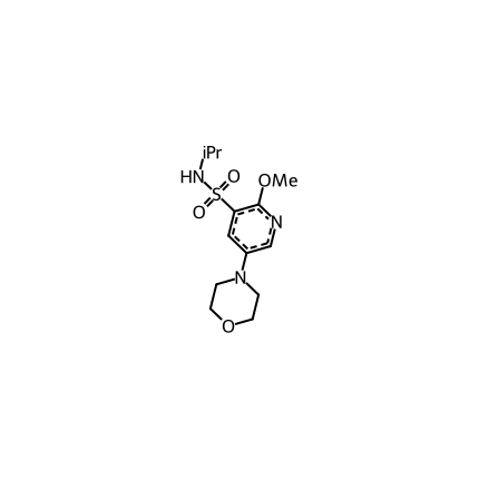 COc1ncc(N2CCOCC2)cc1S(=O)(=O)NC(C)C